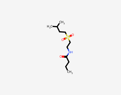 CCCC(=O)NCCS(=O)(=O)CCC(C)C